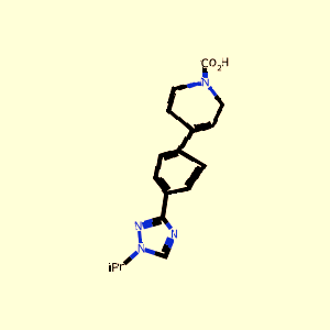 CC(C)n1cnc(-c2ccc(C3=CCN(C(=O)O)CC3)cc2)n1